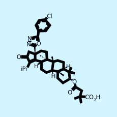 CC(C)C1=C2[C@H]3CC[C@@H]4[C@@]5(C)CC[C@H](OC(=O)CC(C)(C)C(=O)O)C(C)(C)[C@@H]5CC[C@@]4(C)[C@]3(C)CC[C@@]2(c2nnc(-c3ccc(Cl)cc3)o2)CC1=O